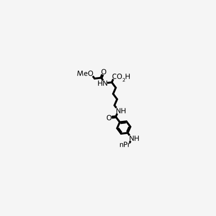 CCCNc1ccc(C(=O)NCCCCC(NC(=O)COC)C(=O)O)cc1